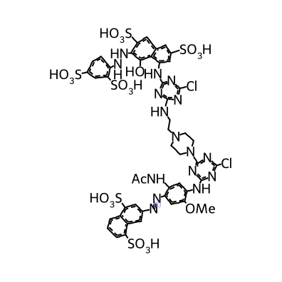 COc1cc(/N=N/c2cc(S(=O)(=O)O)c3cccc(S(=O)(=O)O)c3c2)c(NC(C)=O)cc1Nc1nc(Cl)nc(N2CCN(CCNc3nc(Cl)nc(Nc4cc(S(=O)(=O)O)cc5cc(S(=O)(=O)O)c(NNc6ccc(S(=O)(=O)O)cc6S(=O)(=O)O)c(O)c45)n3)CC2)n1